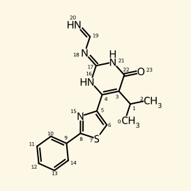 CC(C)c1c(-c2csc(-c3ccccc3)n2)[nH]/c(=N/C=N)[nH]c1=O